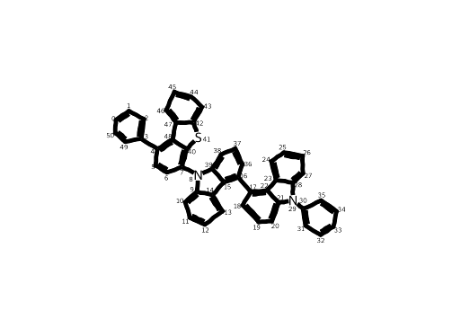 c1ccc(-c2ccc(-n3c4ccccc4c4c(-c5cccc6c5c5ccccc5n6-c5ccccc5)cccc43)c3sc4ccccc4c23)cc1